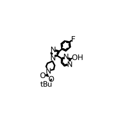 CC(C)(C)OC(=O)N1CCC(n2cnc(-c3ccc(F)cc3)c2-c2ccnc(O)n2)CC1